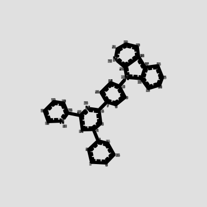 c1ccc(-c2cc(-c3ccc(-n4c5ccccc5c5cccnc54)cc3)nc(-c3ccccn3)c2)cc1